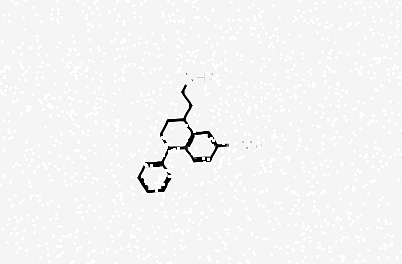 COc1ccc2c(c1)C(CCNC(C)=O)CCC2c1ccccc1